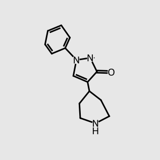 O=C1[N]N(c2ccccc2)C=C1C1CCNCC1